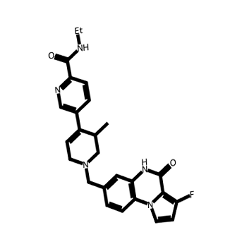 CCNC(=O)c1ccc(C2=CCN(Cc3ccc4c(c3)[nH]c(=O)c3c(F)ccn34)CC2C)cn1